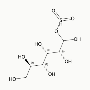 O=[SH](=O)OC(O)[C@H](O)[C@@H](O)[C@H](O)[C@H](O)CO